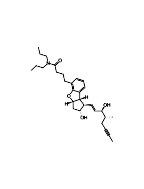 CC#CC[C@@H](C)[C@H](O)/C=C/[C@@H]1[C@H]2c3cccc(CCCC(=O)N(CCC)CCC)c3O[C@H]2C[C@H]1O